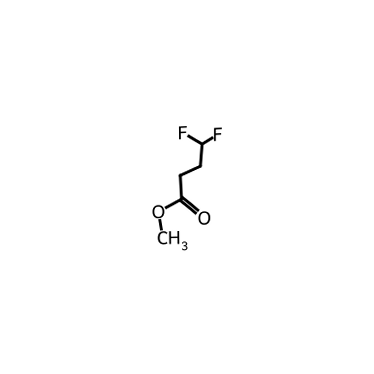 COC(=O)CCC(F)F